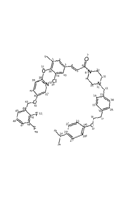 Cc1cc(C=CC(=O)N2CCN(Cc3ccc(CCOc4ccc(C(C)C)cc4)cc3)CC2)cc(Cl)c1Oc1ccc(OCc2cccc(F)c2F)cn1